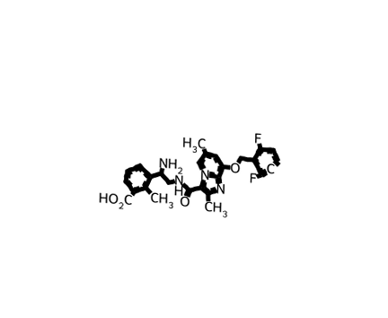 Cc1cc(OCc2c(F)cccc2F)c2nc(C)c(C(=O)NCC(N)c3cccc(C(=O)O)c3C)n2c1